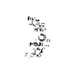 CC(NC(=O)c1ccc(F)cc1)c1ccc2c(n1)CCCN2C(O)c1cc(C(F)(F)F)ccn1